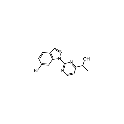 CC(O)c1ccnc(-n2ncc3ccc(Br)cc32)n1